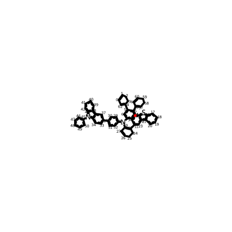 C1=CCCC(c2cc(N(C3=C(c4ccc5sc6ccccc6c5c4)CCC=C3)c3ccc(-c4ccc5c(c4)c4ccccc4n5-c4ccccc4)cc3)ccc2C2=CCCC=C2)=C1